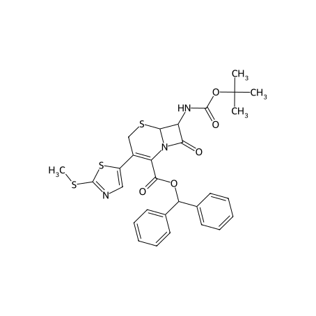 CSc1ncc(C2=C(C(=O)OC(c3ccccc3)c3ccccc3)N3C(=O)C(NC(=O)OC(C)(C)C)C3SC2)s1